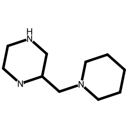 C1CCN(CC2CNCC[N]2)CC1